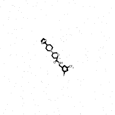 C[C@]1(C(=O)NCc2cc(F)cc(C(F)(F)F)c2)CC[C@@H](N2CCC(c3nccs3)CC2)CO1